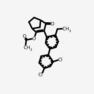 CCc1ccc(-c2ccc(Cl)cc2Cl)cc1C1=C(OC(C)=O)C2CCC(C2)C1=O